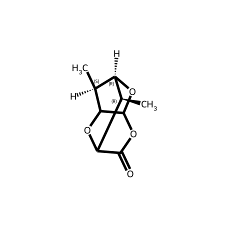 C[C@@H]1C2OC3C(=O)OC2O[C@H]1[C@H]3C